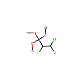 CCO[Si](OCC)(OCC)C(Cl)C(Cl)Cl